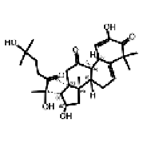 CC(C)(O)CCC(=O)C(C)(O)[C@H]1[C@H](O)C[C@@]2(C)[C@H]3CC=C4[C@@H](C=C(O)C(=O)C4(C)C)[C@]3(C)C(=O)C[C@]12C